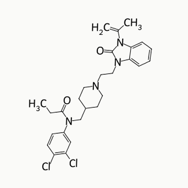 C=C(C)n1c(=O)n(CCN2CCC(CN(C(=O)CC)c3ccc(Cl)c(Cl)c3)CC2)c2ccccc21